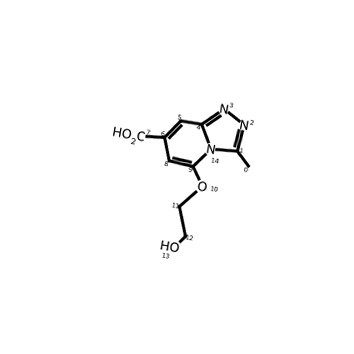 Cc1nnc2cc(C(=O)O)cc(OCCO)n12